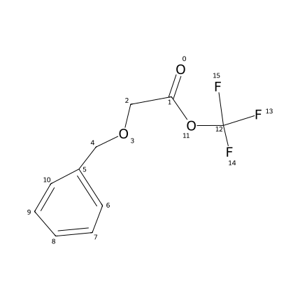 O=C(COCc1ccccc1)OC(F)(F)F